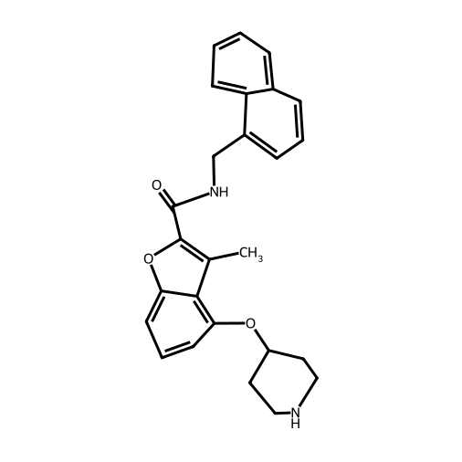 Cc1c(C(=O)NCc2cccc3ccccc23)oc2cccc(OC3CCNCC3)c12